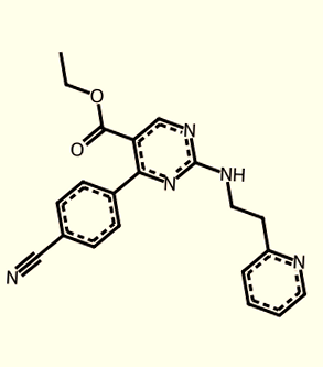 CCOC(=O)c1cnc(NCCc2ccccn2)nc1-c1ccc(C#N)cc1